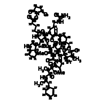 CC[C@H](C)[C@@H]([C@@H](CC(=O)N1CCC[C@H]1[C@@](C)(OC)[C@@H](C)C(=O)N[C@H](C)Cc1ccccc1)OC)N(C)C(=O)[C@@H](NC(=O)[C@H](C(C)C)N(C)C(=O)OCc1ccc(NC(=O)[C@H](CCCNC(N)=O)NC(=O)[C@@H](Cc2c[nH]c3ccccc23)NC(=O)CCCC(=O)ON2C(=O)CCC2=O)cc1)C(C)C